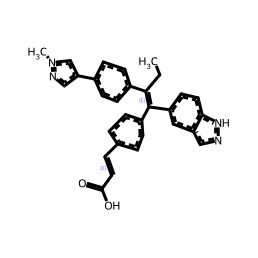 CC/C(=C(/c1ccc(/C=C/C(=O)O)cc1)c1ccc2[nH]ncc2c1)c1ccc(-c2cnn(C)c2)cc1